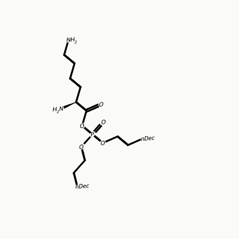 CCCCCCCCCCCCOP(=O)(OCCCCCCCCCCCC)OC(=O)[C@@H](N)CCCCN